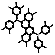 Cc1ccc(N(c2ccc(C)c(C)c2)c2cc3c4cc(C)c(C)cc4c(N(c4ccc(C)c(C)c4)c4cc(C)c(C)c(C)c4)cc3c3cc(C)c(C)cc23)cc1C